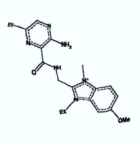 CCc1cnc(N)c(C(=O)NCc2n(CC)c3cc(OC)ccc3[n+]2C)n1